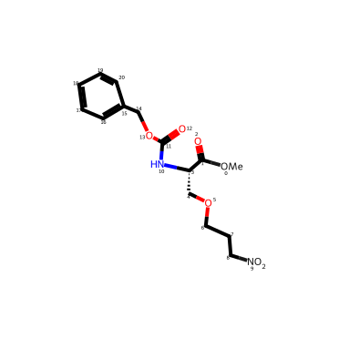 COC(=O)[C@H](COCCC[N+](=O)[O-])NC(=O)OCc1ccccc1